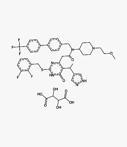 COCCN1CCC(N(Cc2ccc(-c3ccc(C(F)(F)F)cc3)cc2)C(=O)Cc2nc(SCc3cccc(F)c3F)[nH]c(=O)c2C(C)c2cn[nH]c2)CC1.O=C(O)C(O)C(O)C(=O)O